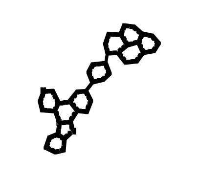 c1cc2ccc3ccc(-c4ccc(-c5ccc6c(c5)c5cnccc5n5c7ccccc7nc65)cc4)c4ccc(c1)c2c34